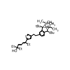 CC/C(=C\C=C\C(O)(CC)CC)c1cc(CCc2ccc(C(O[SiH](C)C)C(C)(C)C)c(C(O[SiH](C)C)C(C)(C)C)c2)cs1